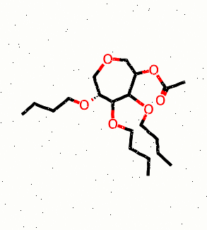 CCCCOC1C(OC(C)=O)COC[C@@H](OCCCC)C1OCCCC